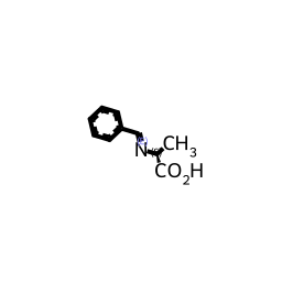 C[C@H](/N=C/c1ccccc1)C(=O)O